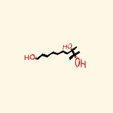 CC(C)(O)C(C)(O)CCCCCCCO